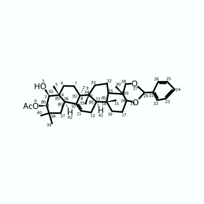 CC(=O)O[C@H]1[C@@H](O)[C@]2(C)CC[C@]3(C)C(=CC[C@@H]4[C@@]5(C)CCC6OC(c7ccccc7)OC[C@@]6(C)C5CC[C@]43C)[C@H]2CC1(C)C